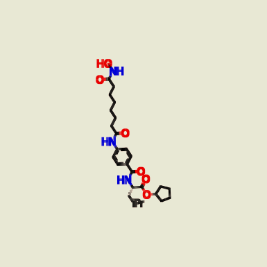 CC(C)C[C@H](NC(=O)c1ccc(NC(=O)CCCCCCC(=O)NO)cc1)C(=O)OC1CCCC1